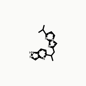 CC(C)c1ccn2cc(CC(C)c3ccc4[nH]ncc4n3)nc2n1